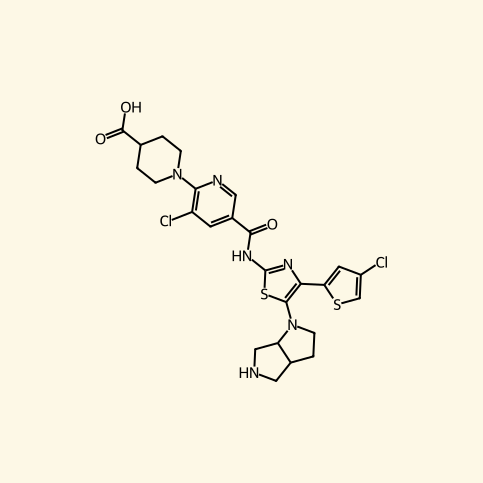 O=C(Nc1nc(-c2cc(Cl)cs2)c(N2CCC3CNCC32)s1)c1cnc(N2CCC(C(=O)O)CC2)c(Cl)c1